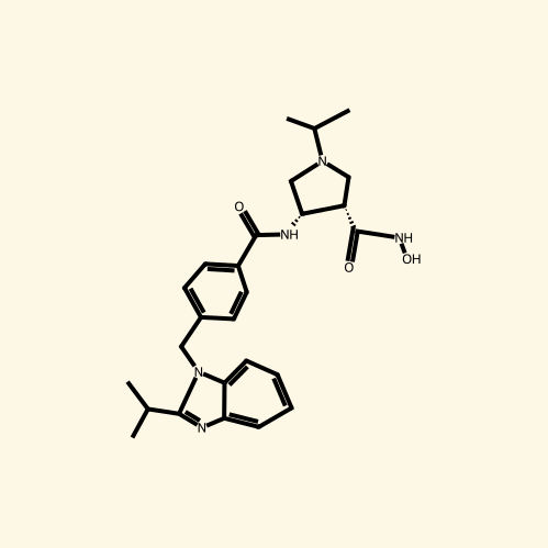 CC(C)c1nc2ccccc2n1Cc1ccc(C(=O)N[C@@H]2CN(C(C)C)C[C@@H]2C(=O)NO)cc1